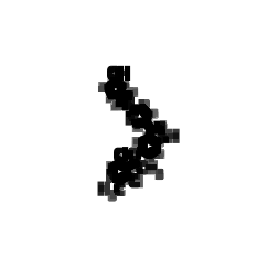 Cc1ncc(Cl)c(C(C)Oc2ccc3[nH]nc(-c4ccc(N5CC6(CCC(O)C6)C5)nc4)c3c2)c1Cl